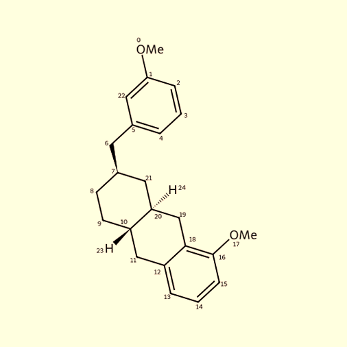 COc1cccc(C[C@@H]2CC[C@H]3Cc4cccc(OC)c4C[C@@H]3C2)c1